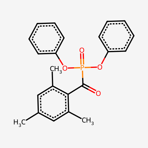 Cc1cc(C)c(C(=O)P(=O)(Oc2ccccc2)Oc2ccccc2)c(C)c1